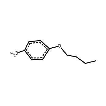 Bc1ccc(OCCCC)cc1